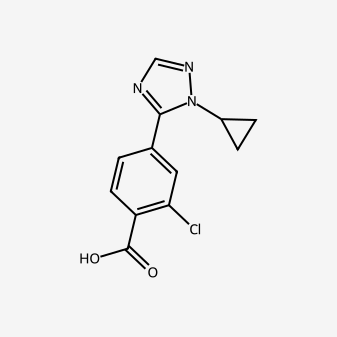 O=C(O)c1ccc(-c2ncnn2C2CC2)cc1Cl